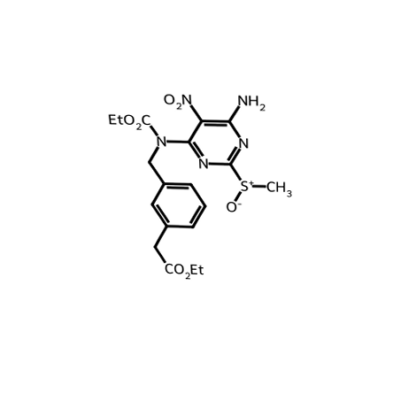 CCOC(=O)Cc1cccc(CN(C(=O)OCC)c2nc([S+](C)[O-])nc(N)c2[N+](=O)[O-])c1